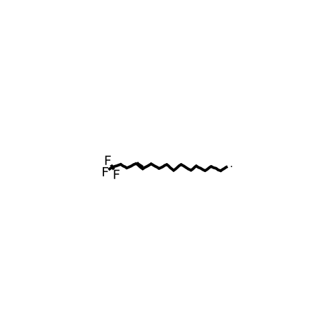 [CH2]CCCCCCCCCCC=CCCC(F)(F)F